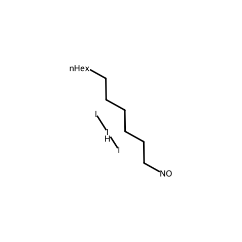 CCCCCCCCCCCCN=O.I[IH]I